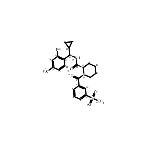 CS(=O)(=O)c1cccc(C(=O)N2CCCC[C@@H]2C(=O)N[C@@H](c2ccc(C(F)(F)F)cc2F)C2CC2)c1